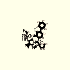 N#C[C@]1(C(=O)N2CC3(CC3)[C@H](NS(=O)(=O)CF)[C@@H]2Cc2cccc(-c3ccccc3)c2F)CCCO1